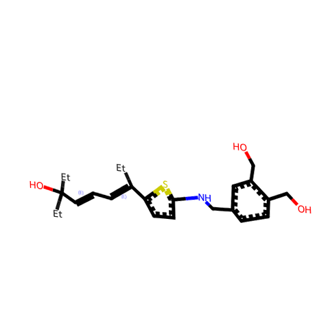 CC/C(=C\C=C\C(O)(CC)CC)c1ccc(NCc2ccc(CO)c(CO)c2)s1